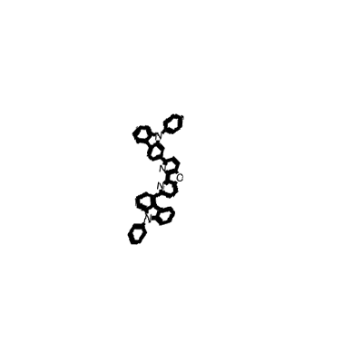 c1ccc(-n2c3ccccc3c3ccc(-c4ccc5oc6ccc(-c7cccc8c7c7ccccc7n8-c7ccccc7)nc6c5n4)cc32)cc1